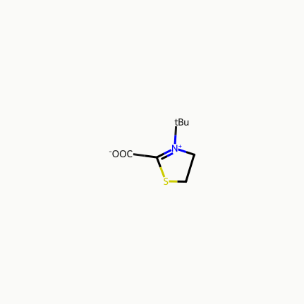 CC(C)(C)[N+]1=C(C(=O)[O-])SCC1